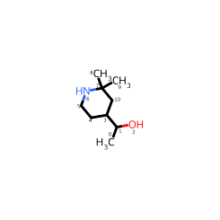 CC(O)C1CCNC(C)(C)C1